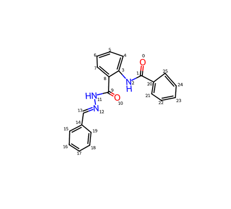 O=C(Nc1ccccc1C(=O)N/N=C/c1ccccc1)c1ccccc1